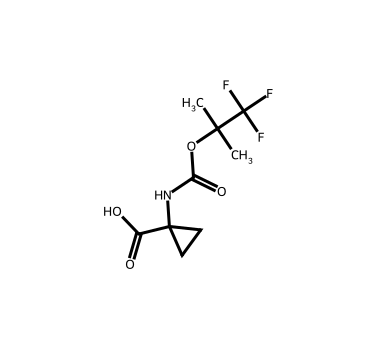 CC(C)(OC(=O)NC1(C(=O)O)CC1)C(F)(F)F